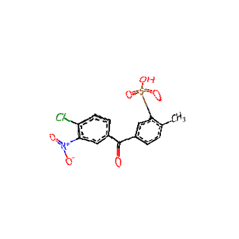 Cc1ccc(C(=O)c2ccc(Cl)c([N+](=O)[O-])c2)cc1S(=O)(=O)O